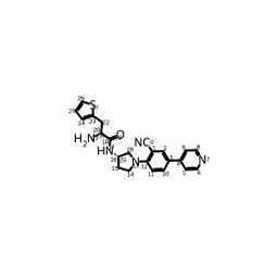 N#Cc1cc(-c2ccncc2)ccc1N1CC[C@H](NC(=O)[C@@H](N)Cc2cccs2)C1